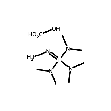 CN(C)P(=NP)(N(C)C)N(C)C.O=C(O)O